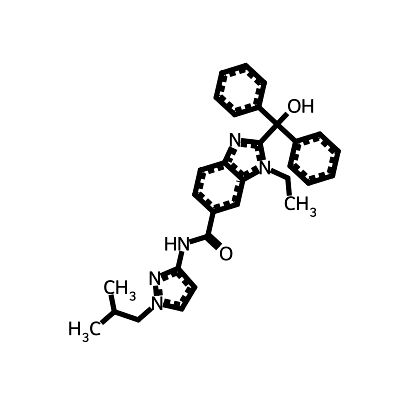 CCn1c(C(O)(c2ccccc2)c2ccccc2)nc2ccc(C(=O)Nc3ccn(CC(C)C)n3)cc21